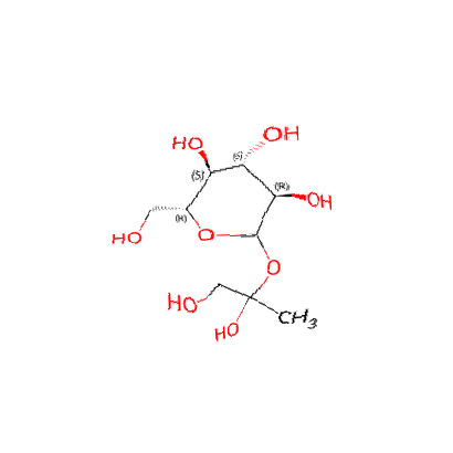 CC(O)(CO)OC1O[C@H](CO)[C@@H](O)[C@H](O)[C@H]1O